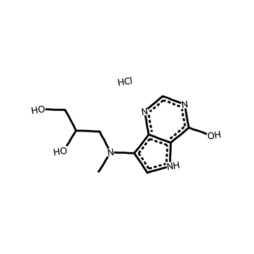 CN(CC(O)CO)c1c[nH]c2c(O)ncnc12.Cl